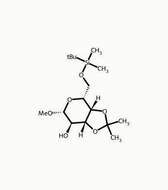 CO[C@@H]1O[C@H](CO[Si](C)(C)C(C)(C)C)[C@@H]2OC(C)(C)O[C@@H]2[C@H]1O